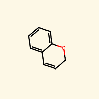 [C]1=Cc2ccccc2OC1